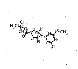 CSc1nc(Cl)cc([C@H]2[C@@H]3CN(C(=O)OC(C)(C)C)C[C@@H]32)n1